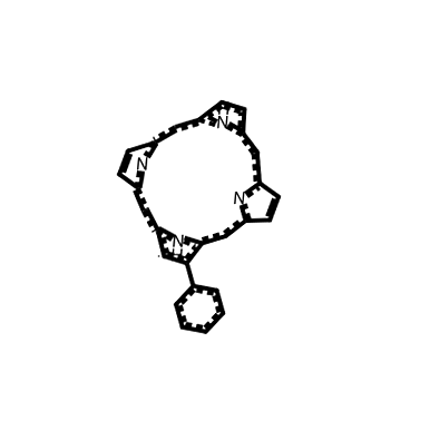 [c]1c(-c2ccccc2)c2cc3nc(cc4ccc(cc5nc(cc1[nH]2)C=C5)[nH]4)C=C3